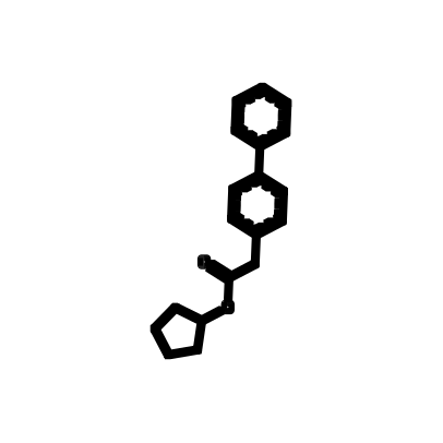 O=C(Cc1ccc(-c2ccccc2)cc1)OC1CCCC1